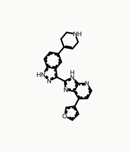 C1=C(c2ccc3[nH]nc(-c4nc5c(-c6ccoc6)ccnc5[nH]4)c3c2)CCNC1